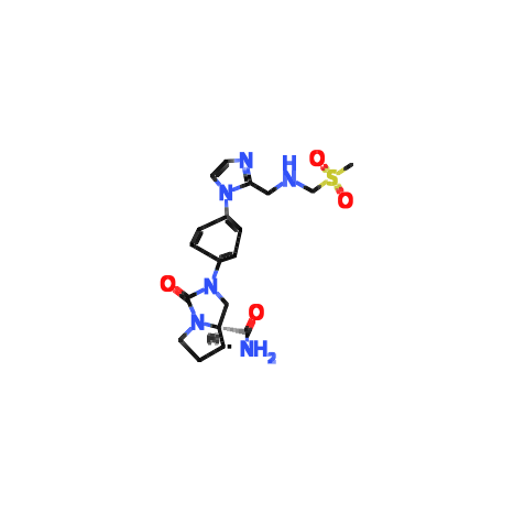 CS(=O)(=O)CNCc1nccn1-c1ccc(N2C[C@@]3(C(N)=O)[CH]CCN3C2=O)cc1